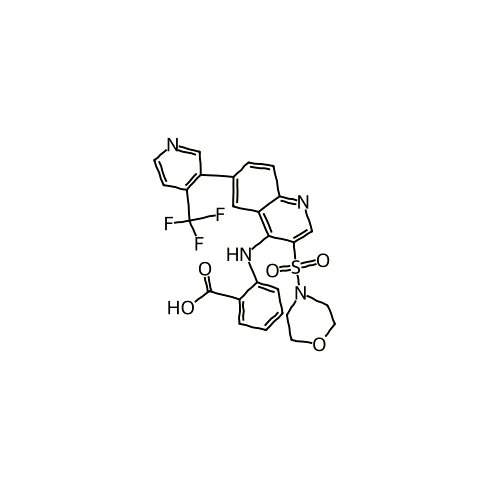 O=C(O)c1ccccc1Nc1c(S(=O)(=O)N2CCOCC2)cnc2ccc(-c3cnccc3C(F)(F)F)cc12